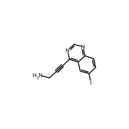 NCC#Cc1ncnc2ccc(I)cc12